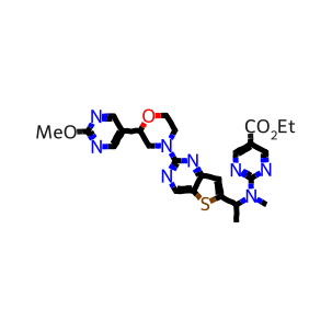 CCOC(=O)c1cnc(N(C)C(C)c2cc3nc(N4CCOC(c5cnc(OC)nc5)C4)ncc3s2)nc1